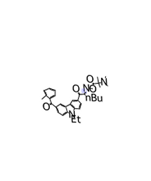 CCCC/C(=N\OC(=O)C(C)(C)N(C)C)C(=O)c1ccc2c(c1)c1cc(C(=O)c3ccccc3C)ccc1n2CC